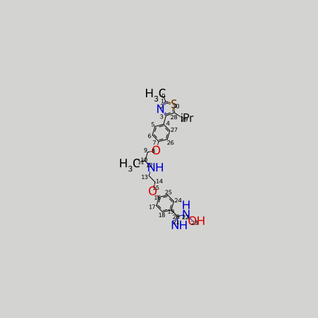 Cc1nc(-c2ccc(OCC(C)NCCOc3ccc(C(=N)NO)cc3)cc2)c(C(C)C)s1